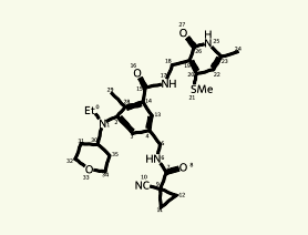 CCN(c1cc(CNC(=O)C2(C#N)CC2)cc(C(=O)NCc2c(SC)cc(C)[nH]c2=O)c1C)C1CCOCC1